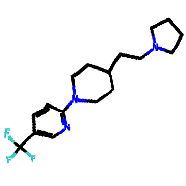 FC(F)(F)c1ccc(N2CCC(CCN3CCCC3)CC2)nc1